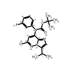 CC(C)c1cnc2c(N(C(=O)OC(C)(C)C)c3cccc(F)c3)cc(Cl)nn12